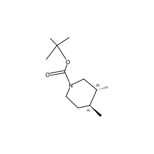 C[C@H]1CCN(C(=O)OC(C)(C)C)C[C@@H]1C